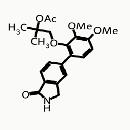 COc1ccc(-c2ccc3c(c2)CNC3=O)c(OCC(C)(C)OC(C)=O)c1OC